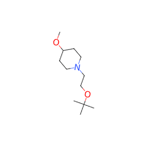 COC1CCN(CCOC(C)(C)C)CC1